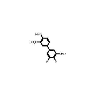 COc1ccc(-c2cc(F)c(F)c(OC)c2)cc1C(=O)O